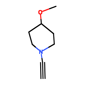 C#CN1CCC(OC)CC1